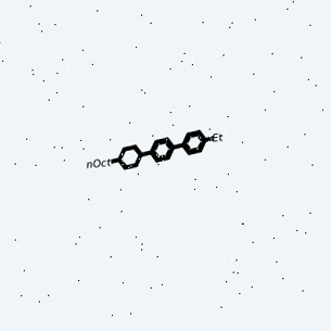 CCCCCCCCC1CCC(c2ccc(-c3ccc(CC)cc3)cc2)CC1